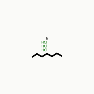 CCCCCCC.Cl.Cl.Cl.[Ti]